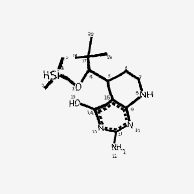 C[SiH](C)OC(C1CCNc2nc(N)nc(O)c21)C(C)(C)C